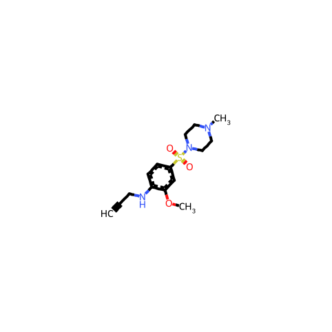 C#CCNc1ccc(S(=O)(=O)N2CCN(C)CC2)cc1OC